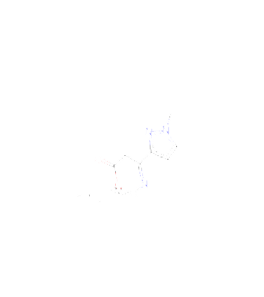 CCOC(=O)OC(=O)CC(=NOC)c1ccn(C)n1